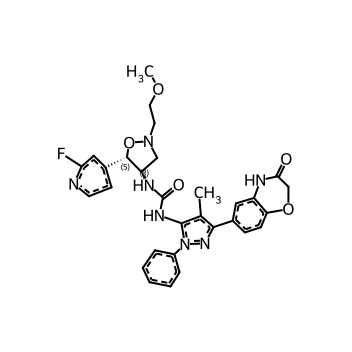 COCCN1C[C@@H](NC(=O)Nc2c(C)c(-c3ccc4c(c3)NC(=O)CO4)nn2-c2ccccc2)[C@H](c2ccnc(F)c2)O1